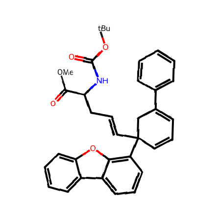 COC(=O)C(C/C=C/C1(c2cccc3c2oc2ccccc23)C=CC=C(c2ccccc2)C1)NC(=O)OC(C)(C)C